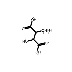 F.O=C(O)C(O)C(O)C(=O)O